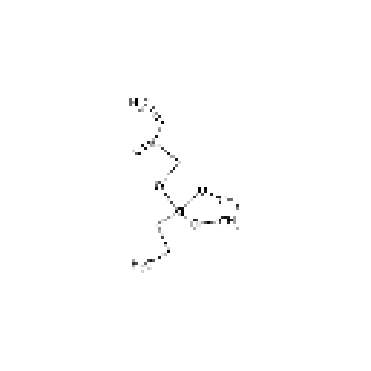 C=CC(=O)CO[Si](CCC)(OC)OC